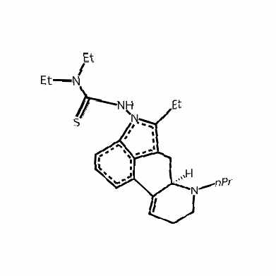 CCCN1CCC=C2c3cccc4c3c(c(CC)n4NC(=S)N(CC)CC)C[C@H]21